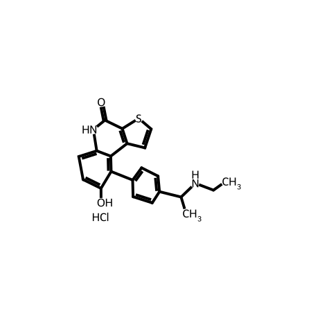 CCNC(C)c1ccc(-c2c(O)ccc3[nH]c(=O)c4sccc4c23)cc1.Cl